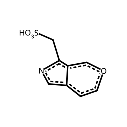 O=S(=O)(O)Cc1ncc2ccocc1-2